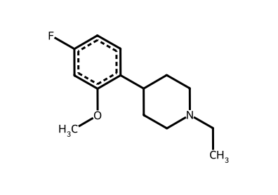 CCN1CCC(c2ccc(F)cc2OC)CC1